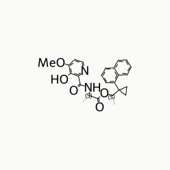 COc1ccnc(C(=O)N[C@@H](C)C(=O)O[C@@H](C)C2(c3cccc4ccccc34)CC2)c1O